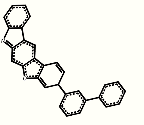 C1=CC(c2cccc(-c3ccccc3)c2)C=c2oc3cc4c(cc3c21)-c1ccccc1N=4